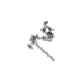 COCCOCCOCCOCCOCCOCCOCCOCCC(=O)N[C@@H](CCCCN1C(=O)C=CC1=O)C(=O)N[C@H](C(=O)N[C@@H](C)C(=O)Nc1ccc(COC(=O)N(C)Cc2ccccc2C(=O)Nc2nc3c(ncn3[C@@H]3O[C@@H]4CO[P@@](=O)(S)O[C@H]5C[C@H](Oc6ccncn6)C[C@@H]5COP(=O)(S)O[C@@H]3[C@@H]4O)c(=O)[nH]2)cc1)C(C)C